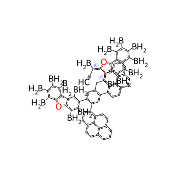 B/C(Cc1cc(-c2c(B)c(B)c3oc4c(B)c(B)c(B)c(B)c4c3c2B)c(-c2ccc3ccc4cccc5ccc2c3c45)cc1-c1ccc2ccc3cccc4ccc1c2c34)=c1/c(=C(/B)C#C)oc2c1c(B)c(B)c1c(B)c(B)c(B)c(B)c12